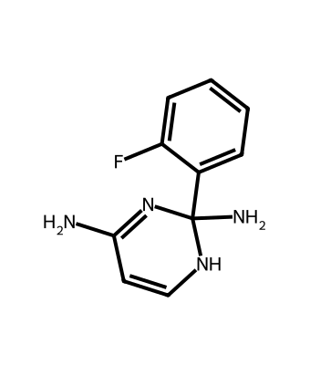 NC1=NC(N)(c2ccccc2F)NC=C1